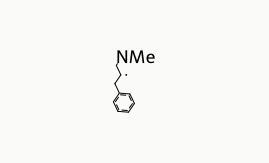 CNC[CH]Cc1ccccc1